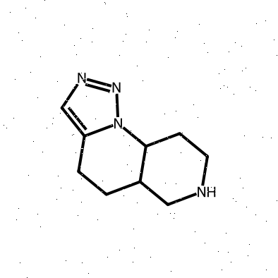 c1nnn2c1CCC1CNCCC12